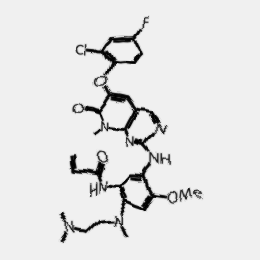 C=CC(=O)Nc1cc(Nc2ncc3cc(Oc4ccc(F)cc4Cl)c(=O)n(C)c3n2)c(OC)cc1N(C)CCN(C)C